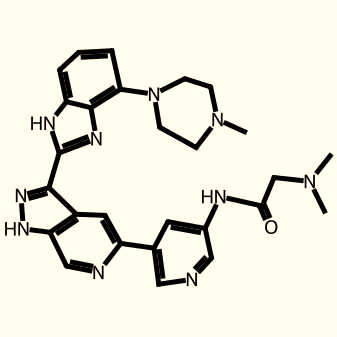 CN(C)CC(=O)Nc1cncc(-c2cc3c(-c4nc5c(N6CCN(C)CC6)cccc5[nH]4)n[nH]c3cn2)c1